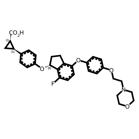 O=C(O)[C@H]1C[C@@H]1c1ccc(O[C@@H]2CCc3c(Oc4ccc(OCCN5CCOCC5)cc4)ccc(F)c32)cc1